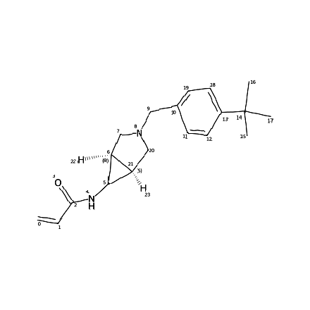 C=CC(=O)NC1[C@H]2CN(Cc3ccc(C(C)(C)C)cc3)C[C@@H]12